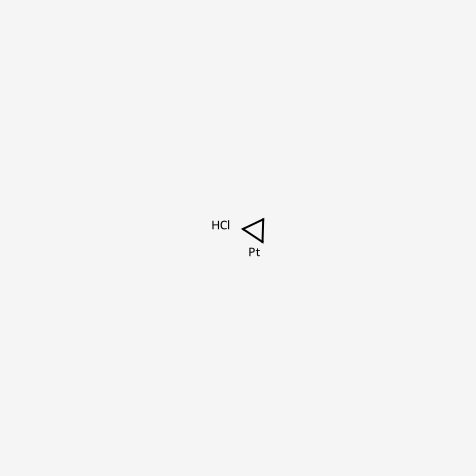 C1CC1.Cl.[Pt]